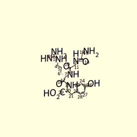 N=C(N)NCCC[C@H](NC(=O)CNC(=O)CN)C(=O)N[C@@H](Cc1ccc(O)cc1)C(=O)O